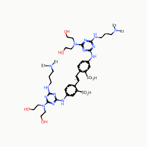 CCN(CC)CCCNc1nc(Nc2ccc(/C=C/c3ccc(Nc4nc(NCCCN(CC)CC)nc(N(CCO)CCO)n4)cc3S(=O)(=O)O)c(S(=O)(=O)O)c2)nc(N(CCO)CCO)n1